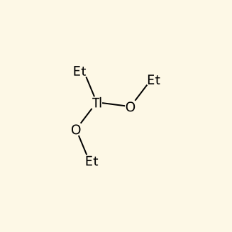 CC[O][Tl]([CH2]C)[O]CC